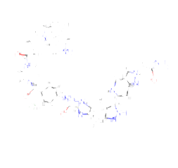 NC(=O)Cn1cc2cnc(-c3[nH]nc(C(F)(F)F)c3Cc3cnc(C(=O)Nc4ccc(C(=O)N5CCN(C(=O)C6CC[N+](CC(=O)O)(CC7CNC7)CC6)CC5)c(Cl)c4)[nH]3)cc2n1